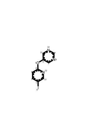 Ic1ccc(Oc2cncnc2)nc1